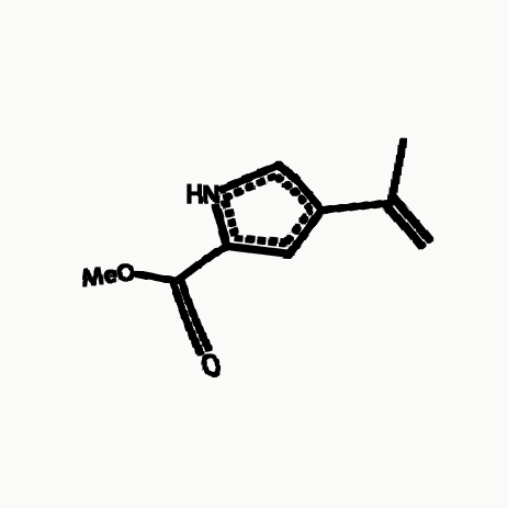 C=C(C)c1c[nH]c(C(=O)OC)c1